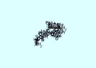 CC[C@H](C)[C@@H]([C@@H](CC(N)=O)OC)N(C)C(=O)[C@@H](NC(=O)[C@H](C(C)C)N(C)C(=O)OCc1ccc(NC(=O)[C@H](CCCNC(N)=O)NC(=O)[C@@H](NN2C(=O)C3C4C(C)=C(C)C(C)(C3C2=O)C4(C)CCN)C(C)C)cc1)C(C)C